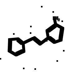 Nc1cccc(C=Cc2ccccc2)c1